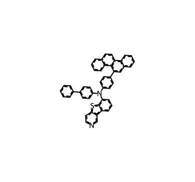 c1ccc(-c2ccc(N(c3ccc(-c4cc5ccccc5c5ccc6ccccc6c45)cc3)c3cccc4c3sc3ccncc34)cc2)cc1